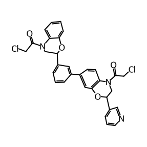 O=C(CCl)N1CC(c2cccc(-c3ccc4c(c3)OC(c3cccnc3)CN4C(=O)CCl)c2)Oc2ccccc21